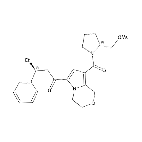 CC[C@@H](CC(=O)c1cc(C(=O)N2CCC[C@@H]2COC)c2n1CCOC2)c1ccccc1